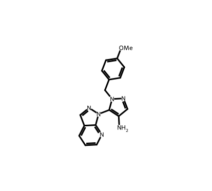 COc1ccc(Cn2ncc(N)c2-n2ncc3cccnc32)cc1